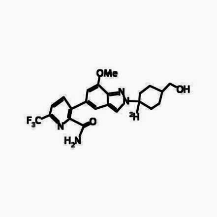 [2H]C1(n2cc3cc(-c4ccc(C(F)(F)F)nc4C(N)=O)cc(OC)c3n2)CCC(CO)CC1